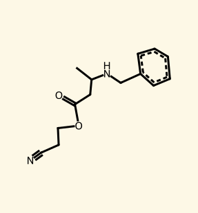 CC(CC(=O)OCCC#N)NCc1ccccc1